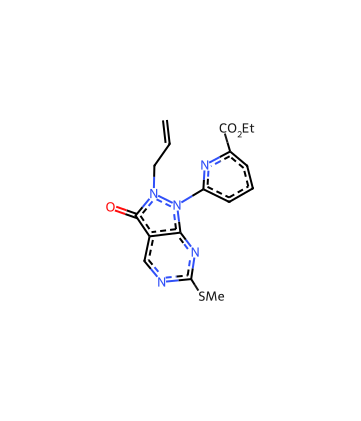 C=CCn1c(=O)c2cnc(SC)nc2n1-c1cccc(C(=O)OCC)n1